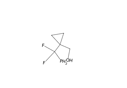 OCC1(C(F)(F)P)CC1